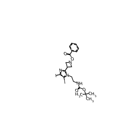 CC(C)(C)OC(=O)NCCn1c(C2CN(OC(=O)c3ccccc3)C2)nc(I)c1I